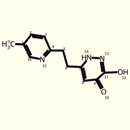 Cc1ccc(CCc2cc(=O)c(O)n[nH]2)nc1